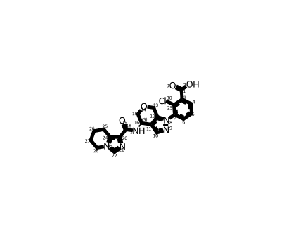 O=C(O)c1cccc(-n2ncc3c2COC[C@H]3NC(=O)c2ncn3c2CCCC3)c1Cl